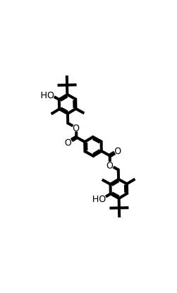 Cc1cc(C(C)(C)C)c(O)c(C)c1COC(=O)c1ccc(C(=O)OCc2c(C)cc(C(C)(C)C)c(O)c2C)cc1